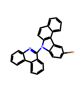 Brc1ccc2c(c1)c1c3ccccc3ccc1n2-c1nc2ccccc2c2ccccc12